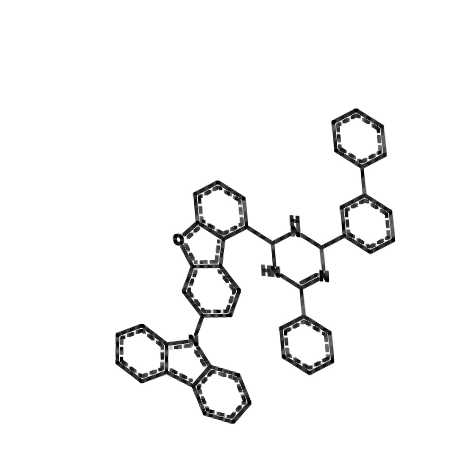 c1ccc(C2=NC(c3cccc(-c4ccccc4)c3)NC(c3cccc4oc5cc(-n6c7ccccc7c7ccccc76)ccc5c34)N2)cc1